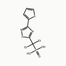 CCC(CC)(c1nc(-c2cccs2)no1)P(=O)(O)O